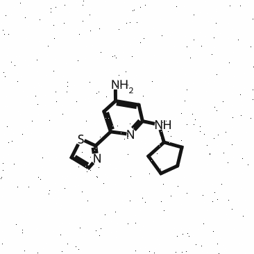 Nc1cc(NC2CCCC2)nc(-c2nccs2)c1